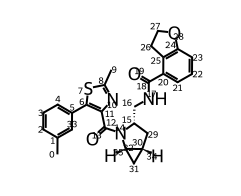 Cc1cccc(-c2sc(C)nc2C(=O)N2[C@H](CNC(=O)c3cccc4c3CCO4)C[C@@H]3C[C@@H]32)c1